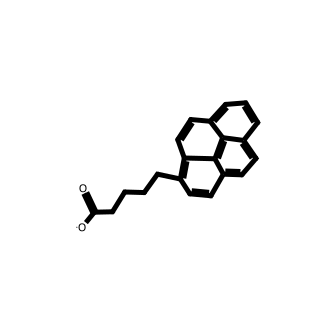 [O]C(=O)CCCCc1ccc2ccc3cccc4ccc1c2c34